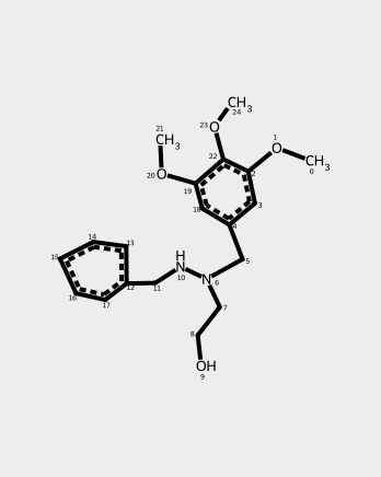 COc1cc(CN(CCO)NCc2ccccc2)cc(OC)c1OC